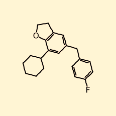 Fc1ccc(Cc2cc3c(c(C4CCCCC4)c2)OCC3)cc1